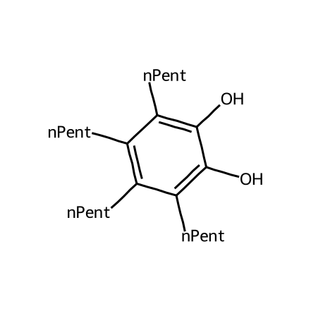 CCCCCc1c(O)c(O)c(CCCCC)c(CCCCC)c1CCCCC